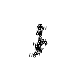 COc1nc2c(cc1Oc1cc(N3CCC4(CC3)CC(N3CCN(Cc5ccnc6c5NCC5(CC5)O6)C[C@H]3c3ccccc3C(C)C)C4)ccc1C(=O)NS(=O)(=O)c1cnc(NC[C@H]3CC[C@](C)(O)CC3)c([NH+](C)[O-])c1)C(F)=CC2